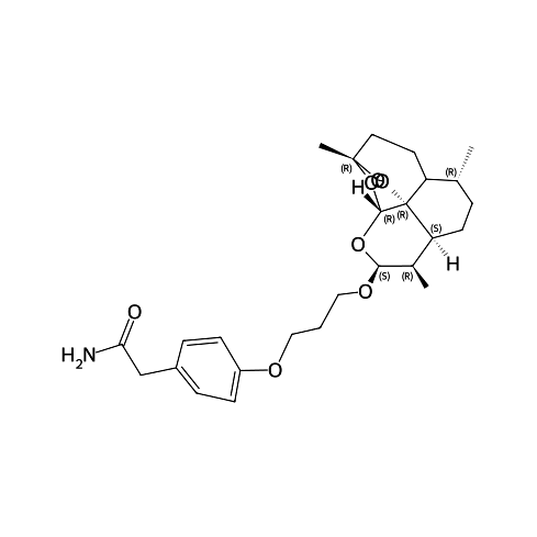 C[C@H]1[C@@H](OCCCOc2ccc(CC(N)=O)cc2)O[C@@H]2O[C@@]3(C)CCC4[C@H](C)CC[C@@H]1[C@]42OO3